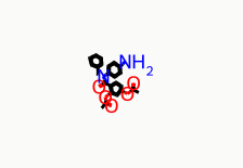 CC(=O)Oc1ccc(C(=O)N(Cc2ccccc2)c2ccc(N)cc2)c(OC(C)=O)c1